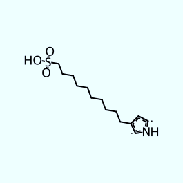 O=S(=O)(O)CCCCCCCCCCc1[c][nH][c]c1